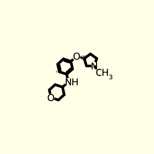 CN1CC[C@H](Oc2cc[c]c(NC3CCOCC3)c2)C1